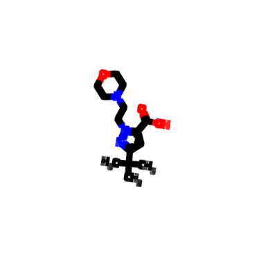 CC(C)(C)c1cc(C(=O)O)n(CCN2CCOCC2)n1